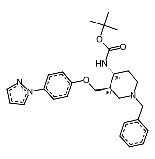 CC(C)(C)OC(=O)N[C@@H]1CCN(Cc2ccccc2)C[C@H]1COc1ccc(-n2cccn2)cc1